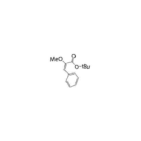 COC(=Cc1ccccc1)C(=O)OC(C)(C)C